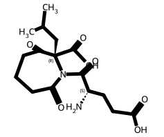 CC(C)C[C@]1(C(=O)O)C(=O)CCCC(=O)N1C(=O)[C@@H](N)CCC(=O)O